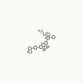 C=C/C=C\C(=C)c1nc(-c2ccccc2)cc(-c2ccc3c(c2)Oc2cc(-c4ccc(-c5cccc6ncccc56)cc4)ccc2C32c3ccccc3-c3ccccc32)n1